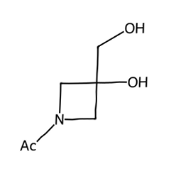 CC(=O)N1CC(O)(CO)C1